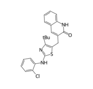 CC(C)(C)c1nc(Nc2ccccc2Cl)sc1Cc1cc2ccccc2[nH]c1=O